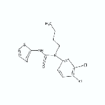 CCCCN(C(=O)Nc1nccs1)c1ccc(Cl)c(Cl)c1